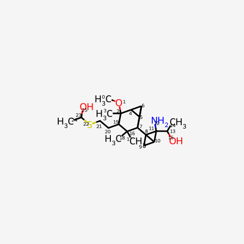 COC1(C)C2C3C2C3(C23CC2C3(N)C(C)O)C(C)(C)C1CCSC(C)O